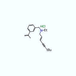 C=C(C)c1cccc(CN(CC)CC=CC#CC(C)(C)C)c1.Cl